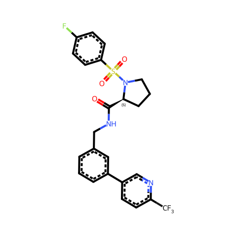 O=C(NCc1cccc(-c2ccc(C(F)(F)F)nc2)c1)[C@@H]1CCCN1S(=O)(=O)c1ccc(F)cc1